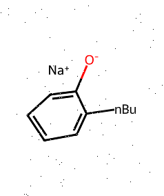 CCCCc1ccccc1[O-].[Na+]